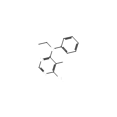 CCN(c1ccccc1)c1ncnc(Cl)c1Cl